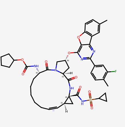 Cc1ccc2oc3c(O[C@@H]4C[C@H]5C(=O)N[C@]6(C(=O)NS(=O)(=O)C7CC7)C[C@H]6/C=C\CCCCC[C@H](NC(=O)OC6CCCC6)C(=O)N5C4)nc(-c4ccc(C)c(F)c4)nc3c2c1